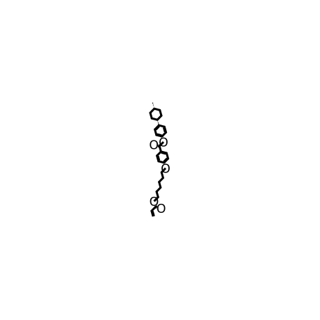 C=CC(=O)OCCCCCCOc1ccc(C(=O)Oc2ccc([C@H]3CC[C@@H](C)CC3)cc2)cc1